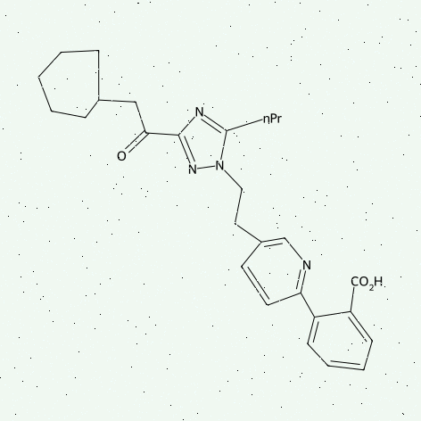 CCCc1nc(C(=O)CC2CCCCC2)nn1CCc1ccc(-c2ccccc2C(=O)O)nc1